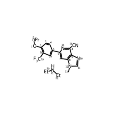 CCCOc1ccc(-c2cc3c(ncn3C)c(C#N)n2)cc1C(F)(F)F.CCNCC